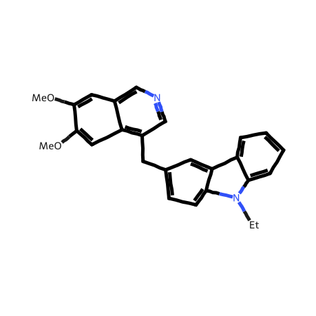 CCn1c2ccccc2c2cc(Cc3cncc4cc(OC)c(OC)cc34)ccc21